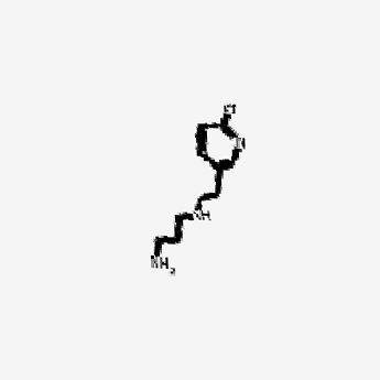 NCCCNCCc1ccc(Cl)nc1